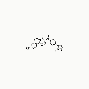 CCn1nccc1-c1ccc(NC(=O)[C@@H](C)n2ccc3cc(Cl)ccc3c2=O)cc1